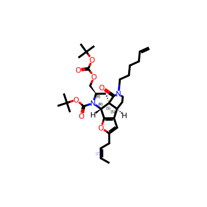 C=CCCCCN1CC[C@H]2c3cc(C/C=C\C)oc3[C@@H]3N(C(=O)OC(C)(C)C)[C@@H](COC(=O)OC(C)(C)C)C[C@@]32C1=O